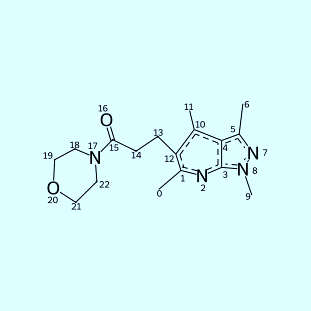 Cc1nc2c(c(C)nn2C)c(C)c1CCC(=O)N1CCOCC1